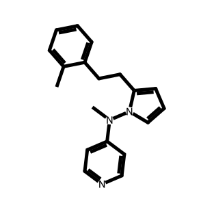 Cc1ccccc1CCc1cccn1N(C)c1ccncc1